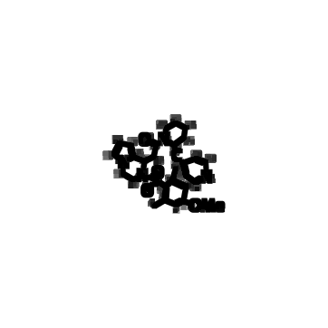 COc1cc(C)c(S(=O)(=O)N2CCn3cccc3C2CC(=O)N2CCCCC2Cc2ccncc2)c(C)c1